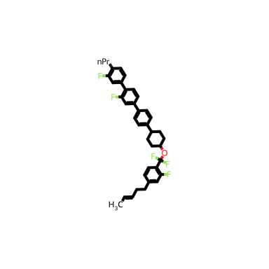 C/C=C/CCc1ccc(C(F)(F)OC2CCC(c3ccc(-c4ccc(-c5ccc(CCC)c(F)c5)c(F)c4)cc3)CC2)c(F)c1